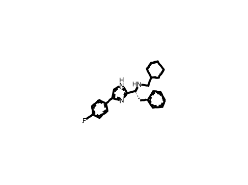 Fc1ccc(-c2c[nH]c([C@@H](Cc3ccccc3)NCC3CCCCC3)n2)cc1